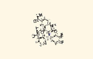 CN1c2ccc(C(=O)O)cc2C(=O)/C(=C/c2ccc(F)c(F)c2)[S+]1[O-].NC(=O)c1ccncc1